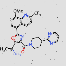 COc1ccc(-c2nc(C(=O)N3CCC(c4ncccn4)CC3)c([C@H](C)N)o2)c2ccc(C(F)(F)F)nc12